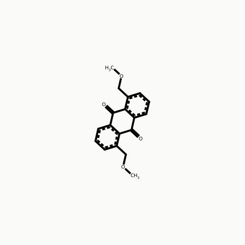 COCc1cccc2c1C(=O)c1cccc(COC)c1C2=O